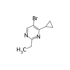 CCc1ncc(Br)c(C2CC2)n1